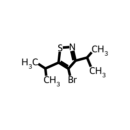 CC(C)c1nsc(C(C)C)c1Br